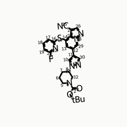 CC(C)(C)OC(=O)N1CCC[C@H](n2cc(-c3cc(Sc4cccc(F)n4)c4c(C#N)cnn4c3)cn2)C1